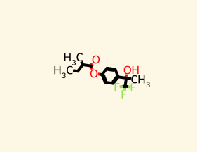 CCC(C)C(=O)Oc1ccc(C(C)(O)C(F)(F)F)cc1